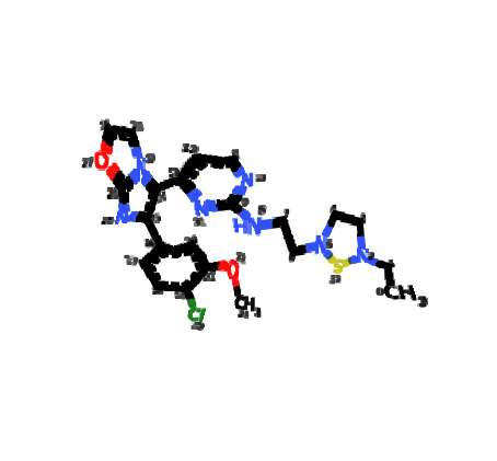 CCN1CCN(CCNc2nccc(-c3c(-c4ccc(Cl)c(OC)c4)nc4occn34)n2)S1